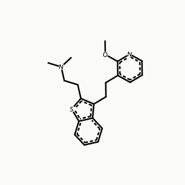 COc1ncccc1CCc1c(CCN(C)C)sc2ccccc12